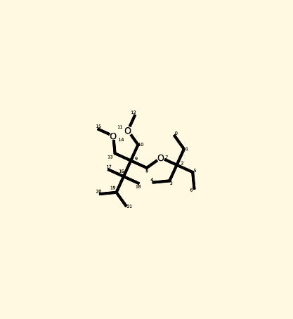 CCC(CC)(CC)OCC(COC)(COC)C(C)(C)C(C)C